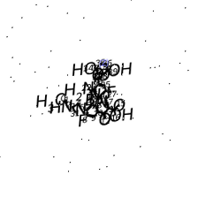 CCNC1CN(c2c(F)cc3c(=O)c(C(=O)O)cn(-c4nc(N)c(F)cc4F)c3c2Br)C1.O=C(O)/C=C\C(=O)O